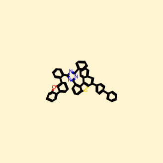 c1ccc(-c2ccc(-c3cc4ccccc4c4c3sc3cccc(-c5nc(-c6ccccc6)nc(-c6ccccc6-c6cccc7c6oc6ccccc67)n5)c34)cc2)cc1